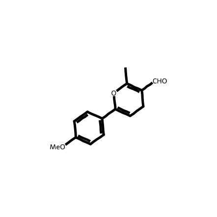 COc1ccc(C2=CCC(C=O)=C(C)O2)cc1